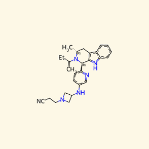 C=C(CC)N1[C@H](c2ccc(NC3CN(CCC#N)C3)cn2)c2[nH]c3ccccc3c2C[C@H]1C